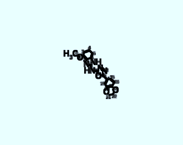 COc1cccc2[nH]c(Nc3nnc(-c4ccc5c(c4)OCCO5)o3)nc12